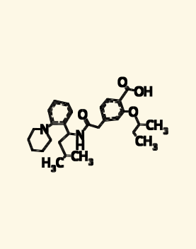 CCC(C)Oc1cc(CC(=O)NC(CC(C)C)c2ccccc2N2CCCCC2)ccc1C(=O)O